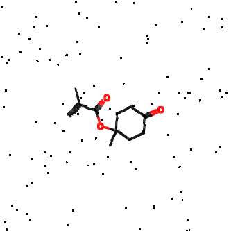 C=C(C)C(=O)OC1(C)CCC(=O)CC1